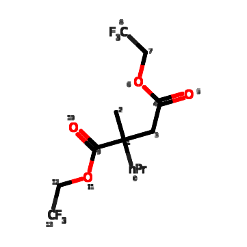 CCCC(C)(CC(=O)OCC(F)(F)F)C(=O)OCC(F)(F)F